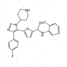 OC(Nc1ccccc1F)c1ccc(-c2c(-c3ccc(F)cc3)ncn2C2CCNCC2)o1